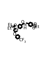 CCN(CC)C(=O)[C@@H]1C[C@@H](Oc2ccc(C(F)(F)F)cc2)CN1c1ccc(C(=O)NCc2ccc(S(=O)(=O)CC)cc2)cc1